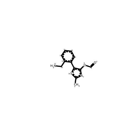 Cc1nc(OC=O)c(-c2ccccc2CN)s1